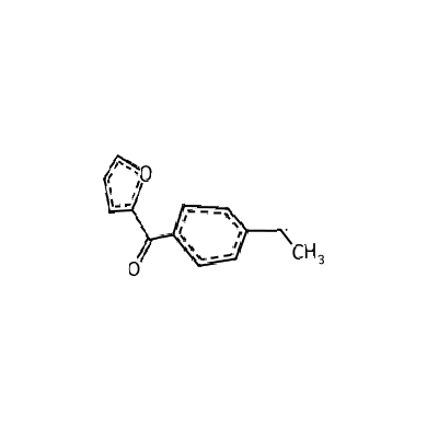 C[CH]c1ccc(C(=O)c2ccco2)cc1